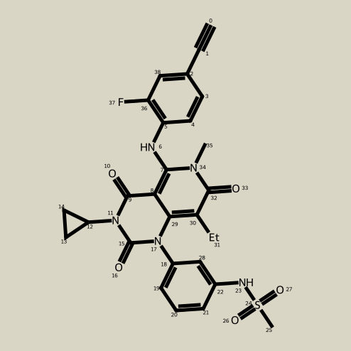 C#Cc1ccc(Nc2c3c(=O)n(C4CC4)c(=O)n(-c4cccc(NS(C)(=O)=O)c4)c3c(CC)c(=O)n2C)c(F)c1